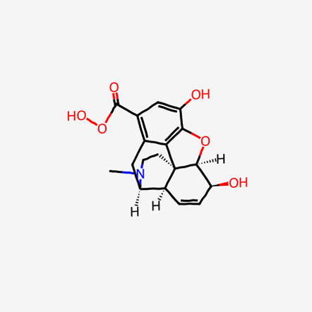 CN1CC[C@]23c4c5c(C(=O)OO)cc(O)c4O[C@H]2[C@@H](O)C=C[C@H]3[C@H]1C5